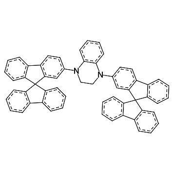 c1ccc2c(c1)-c1ccccc1C21c2ccccc2-c2ccc(N3CCN(c4ccc5c(c4)C4(c6ccccc6-c6ccccc64)c4ccccc4-5)c4ccccc43)cc21